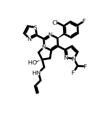 C=CCNC[C@]1(O)CC2=C(c3ccn(C(F)F)n3)[C@H](c3ccc(F)cc3Cl)N=C(c3nccs3)N2C1